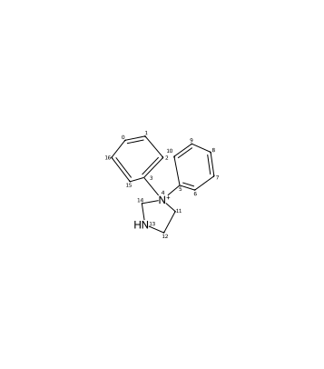 c1ccc([N+]2(c3ccccc3)CCNC2)cc1